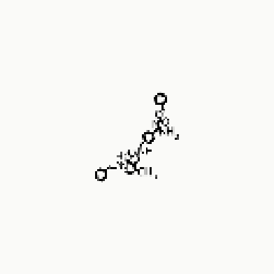 Cc1ccn(NCCc2ccccc2)c(=O)c1CC(=O)NCc1ccc(/C(N)=N/C(=O)OCc2ccccc2)cc1